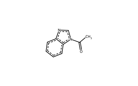 CC(=O)n1cnc2ccccc21